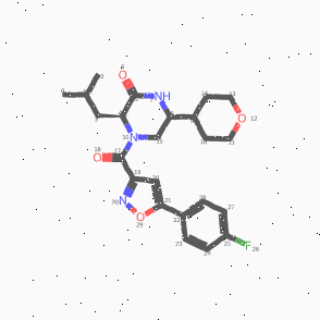 CC(C)C[C@H]1C(=O)NC(C2CCOCC2)CN1C(=O)c1cc(-c2ccc(F)cc2)on1